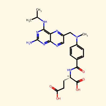 CC(C)Nc1nc(N)nc2ncc(CN(C)c3ccc(C(=O)N[C@@H](CCC(=O)O)C(=O)O)cc3)nc12